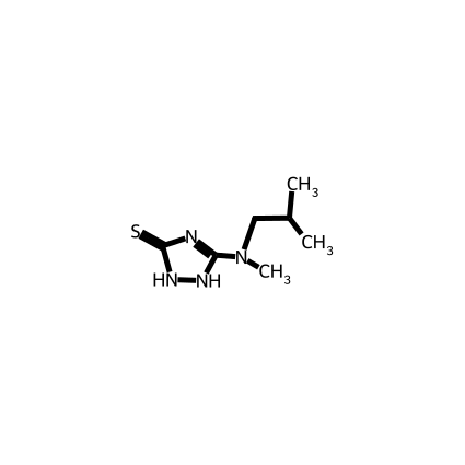 CC(C)CN(C)c1nc(=S)[nH][nH]1